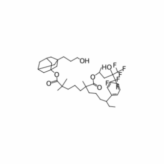 CCC(CCCC(C)(CCCC(C)(C)C(=O)OC12CC3CC(CC(CCCO)(C3)C1)C2)C(=O)OC(C)CC(O)(C(F)(F)F)C(F)(F)F)c1ccccc1